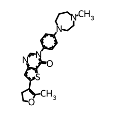 CC1=C(c2cc3ncn(-c4ccc(N5CCCN(C)CC5)cc4)c(=O)c3s2)CCO1